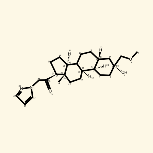 COC[C@@]1(O)CC[C@@H]2[C@H](CCC3[C@@H]2CC[C@]2(C)[C@@H](C(=O)Cn4cccn4)CC[C@@H]32)C1